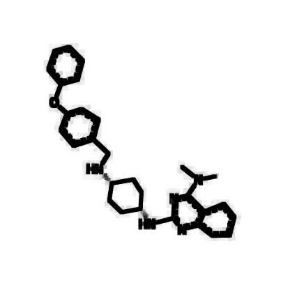 CN(C)c1nc(N[C@H]2CC[C@@H](NCc3ccc(Oc4ccccc4)cc3)CC2)nc2ccccc12